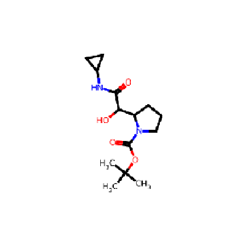 CC(C)(C)OC(=O)N1CCCC1C(O)C(=O)NC1CC1